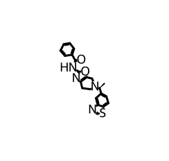 C[C@@H](c1ccc2scnc2c1)N1CCc2nc(NC(=O)c3ccccc3)oc2C1